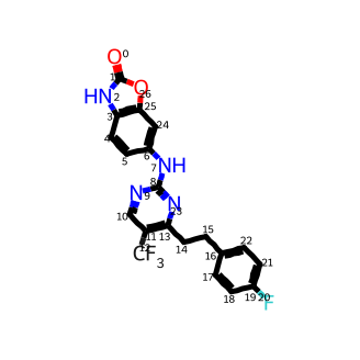 O=c1[nH]c2ccc(Nc3ncc(C(F)(F)F)c(CCc4ccc(F)cc4)n3)cc2o1